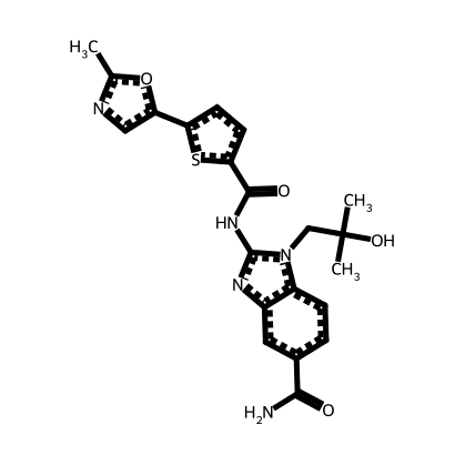 Cc1ncc(-c2ccc(C(=O)Nc3nc4cc(C(N)=O)ccc4n3CC(C)(C)O)s2)o1